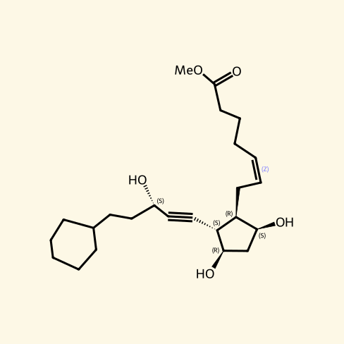 COC(=O)CCC/C=C\C[C@@H]1[C@@H](C#C[C@@H](O)CCC2CCCCC2)[C@H](O)C[C@@H]1O